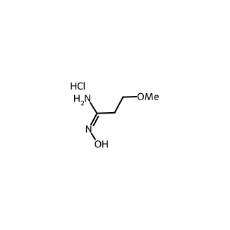 COCC/C(N)=N\O.Cl